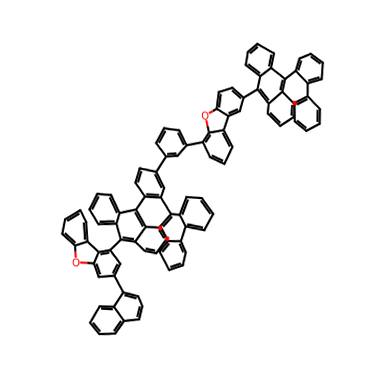 c1ccc(-c2ccccc2-c2c3ccccc3c(-c3ccc4oc5c(-c6cccc(-c7ccc(-c8c9ccccc9c(-c9cc(-c%10cccc%11ccccc%10%11)cc%10oc%11ccccc%11c9%10)c9ccccc89)c(-c8cc9ccccc9c9ccccc89)c7)c6)cccc5c4c3)c3ccccc23)cc1